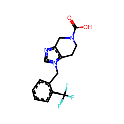 O=C(O)N1CCc2c(ncn2Cc2ccccc2C(F)(F)F)C1